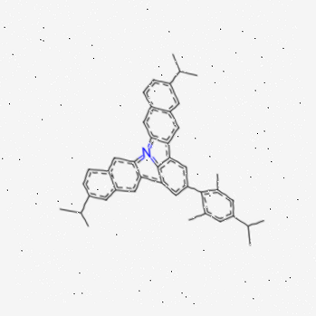 Cc1cc(C(C)C)cc(C)c1-c1cc2c3cc4cc(C(C)C)ccc4cc3n3c4cc5ccc(C(C)C)cc5cc4c(c1)c23